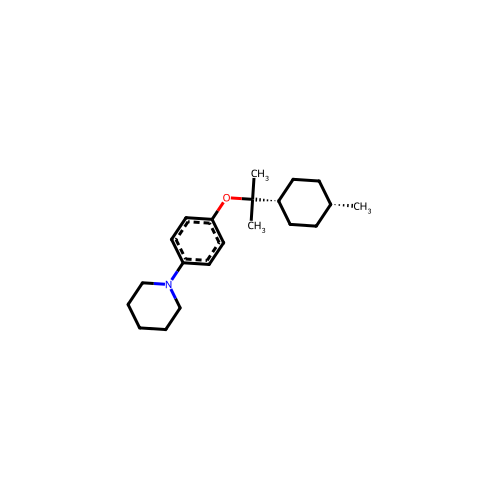 CC(C)(Oc1ccc(N2CCCCC2)cc1)[C@H]1CC[C@@H](C)CC1